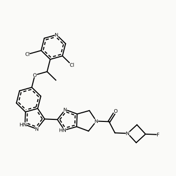 CC(Oc1ccc2[nH]nc(-c3nc4c([nH]3)CN(C(=O)CN3CC(F)C3)C4)c2c1)c1c(Cl)cncc1Cl